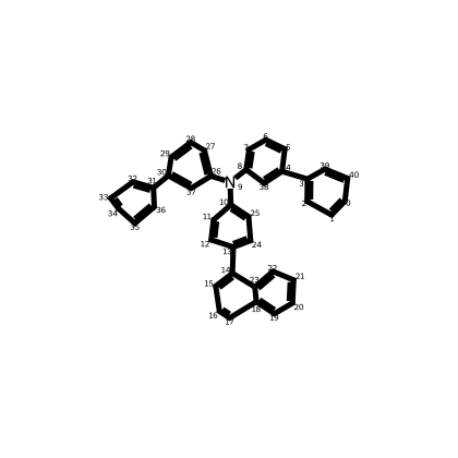 c1ccc(-c2cccc(N(c3ccc(-c4cccc5ccccc45)cc3)c3cccc(-c4ccccc4)c3)c2)cc1